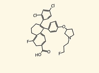 O=C(O)C1=CC=C2C(=C(F)C1)CCCC(c1ccc(Cl)cc1Cl)=C2c1ccc(O[C@H]2CCN(CCCF)C2)cc1